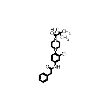 CC(C)(C)C(=O)N1CCN(c2ccc(NC(=O)Cc3ccccc3)cc2Cl)CC1